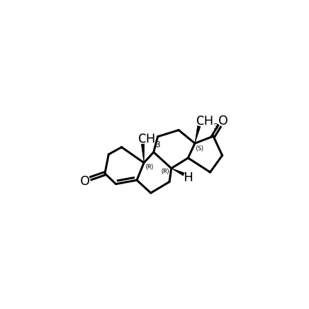 C[C@]12CCC(=O)C=C1CC[C@@H]1C2CC[C@]2(C)C(=O)CCC12